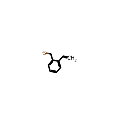 C=Cc1ccccc1C[S]